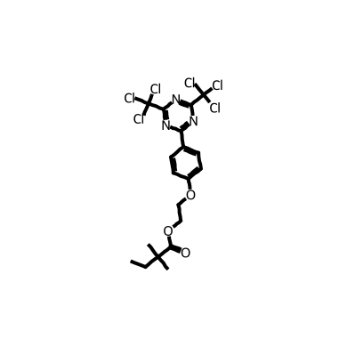 CCC(C)(C)C(=O)OCCOc1ccc(-c2nc(C(Cl)(Cl)Cl)nc(C(Cl)(Cl)Cl)n2)cc1